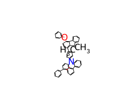 CC1(C)c2ccccc2-c2c(Oc3ccccc3)ccc(-c3ccc(N(c4ccc(-c5ccccc5)cc4)c4ccccc4-c4ccccc4)cc3)c21